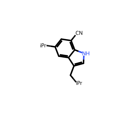 CC(C)Cc1c[nH]c2c(C#N)cc(C(C)C)cc12